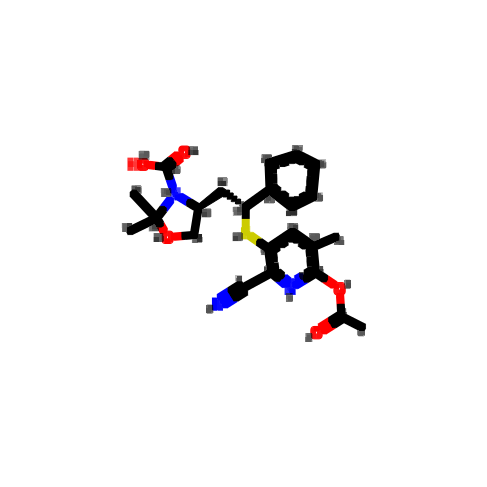 CC(=O)Oc1nc(C#N)c(S[C@H](C[C@H]2COC(C)(C)N2C(=O)O)c2ccccc2)cc1C